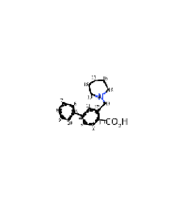 O=C(O)c1ccc(-c2ccccc2)cc1CN1CCCCC1